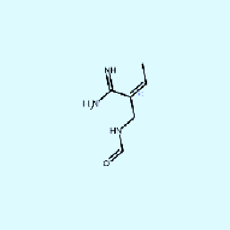 C/C=C(/CNC=O)C(=N)N